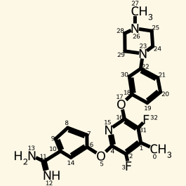 Cc1c(F)c(Oc2cccc(C(=N)N)c2)nc(Oc2cccc(N3CCN(C)CC3)c2)c1F